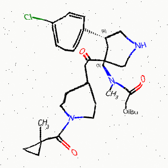 CC(C)COC(=O)N(C)[C@]1(C(=O)C2CCN(C(=O)C3(C)CC3)CC2)CNC[C@H]1c1ccc(Cl)cc1